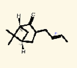 C/C=C/CC1C[C@H]2C[C@@H](C1=O)C2(C)C